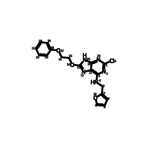 Clc1nc(NCc2ccco2)c2nc(OCCOc3ccccc3)[nH]c2n1